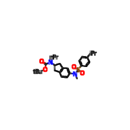 CCCN(C(=O)OC(C)(C)C)C1Cc2ccc(N(C)S(=O)(=O)c3ccc(C(C)C)cc3)cc2C1